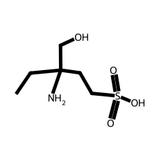 CCC(N)(CO)CCS(=O)(=O)O